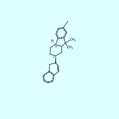 CC1(C)c2cc(I)ccc2[C@@H]2CC[C@H](C3C=Cc4ccccc4C3)CC21